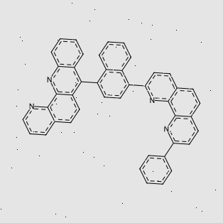 c1ccc(-c2ccc3ccc4ccc(-c5ccc(-c6c7ccccc7nc7c6ccc6cccnc67)c6ccccc56)nc4c3n2)cc1